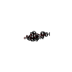 CC(C)(C)C(NC(=O)c1cc2cc(C(F)(F)P(=O)(O)O)ccc2s1)C(=O)N1Cc2cc(OCC(=O)NCCCC#Cc3ccc4c(c3)C(=O)N(C3CCC(=O)NC3=O)C4=O)ccc2C[C@H]1C(=O)N1CCC[C@H](c2ccccc2)C1